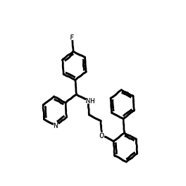 Fc1ccc(C(NCCOc2ccccc2-c2ccccc2)c2cccnc2)cc1